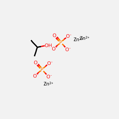 CC(C)O.O=P([O-])([O-])[O-].O=P([O-])([O-])[O-].[Zn+2].[Zn+2].[Zn+2]